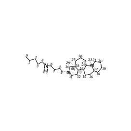 CCCCCNCCCC[C@H]1CCC2C3CCC4CCCC[C@]4(C)C3CCC[C@]2(C)C1